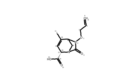 C=CCON1C(=O)N2CC1C(I)=C[C@H]2C(=O)O